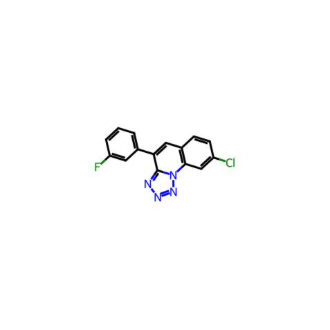 Fc1cccc(-c2cc3ccc(Cl)cc3n3nnnc23)c1